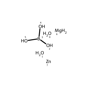 O.O.OB(O)O.[MgH2].[Zn]